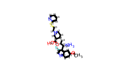 COc1ccc2ncc(F)c([C@@H](N)CC[C@H]3CCN(CCSc4ccccn4)C[C@H]3C(=O)O)c2c1